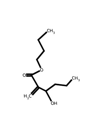 C=C(C(=O)OCCCC)C(O)CCC